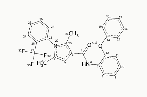 Cc1cc(C(=O)Nc2ccccc2Oc2ccccc2)c(C)n1-c1ccccc1C(F)(F)F